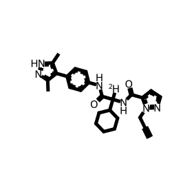 [2H]C(NC(=O)c1ccnn1CC#C)(C(=O)Nc1ccc(-c2c(C)n[nH]c2C)cc1)C1CCCCC1